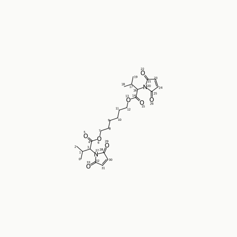 CC(C)C(C(=O)OCCCCCCOC(=O)C(C(C)C)N1C(=O)C=CC1=O)N1C(=O)C=CC1=O